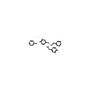 COc1ccc(CC(C)N(Cc2ccc(OCc3ccccc3)c(OC)c2)C[C@H](O)c2cccc(Cl)c2)cc1OC